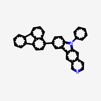 c1ccc(-n2c3ccc(-c4ccc5c6c(cccc46)-c4ccccc4-5)cc3c3cc4cnccc4cc32)cc1